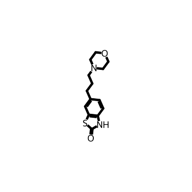 O=c1[nH]c2ccc(CCCN3CCOCC3)cc2s1